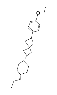 CCC[C@H]1CC[C@H](C2CC3(CC(c4ccc(OCC)cc4)C3)C2)CC1